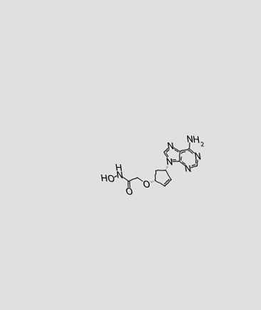 Nc1ncnc2c1ncn2[C@@H]1C=C[C@H](OCC(=O)NO)C1